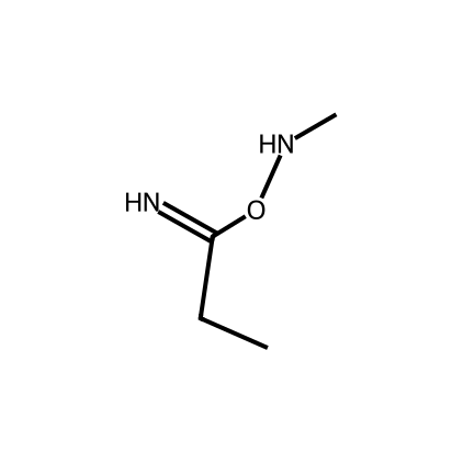 CCC(=N)ONC